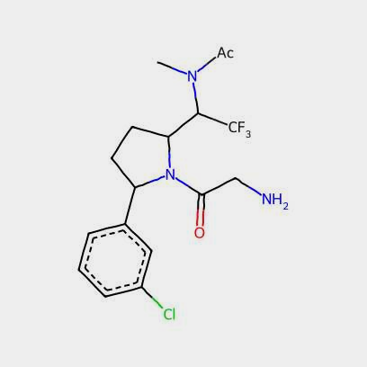 CC(=O)N(C)C(C1CCC(c2cccc(Cl)c2)N1C(=O)CN)C(F)(F)F